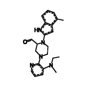 CCN(C)c1cccnc1N1CCN(c2cc3c(C)cccc3[nH]2)C(C=O)C1